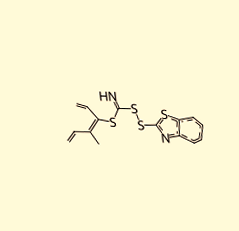 C=C/C(C)=C(\C=C)SC(=N)SSc1nc2ccccc2s1